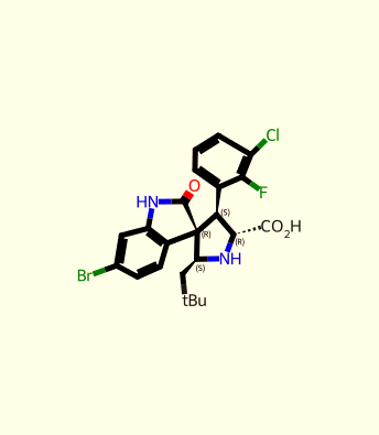 CC(C)(C)C[C@@H]1N[C@@H](C(=O)O)[C@H](c2cccc(Cl)c2F)[C@]12C(=O)Nc1cc(Br)ccc12